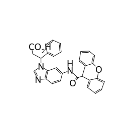 O=C(O)CC(c1ccccc1)n1cnc2ccc(NC(=O)C3c4ccccc4Oc4ccccc43)cc21